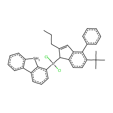 CCCC1=Cc2c(ccc(C(C)(C)C)c2-c2ccccc2)[CH]1[Zr]([Cl])([Cl])[c]1cccc2c1[SiH2]c1ccccc1-2